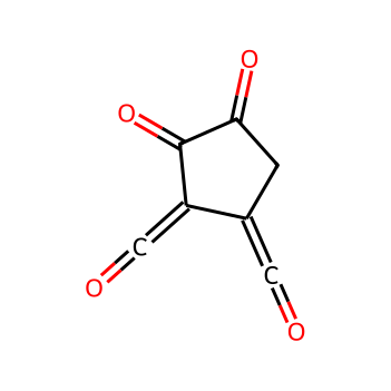 O=C=C1CC(=O)C(=O)C1=C=O